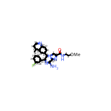 COCCNC(=O)c1cn2c(-c3ccc4nccc(C)c4c3)c(-c3cccc(F)c3)nc(N)c2n1